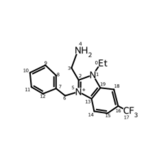 CCn1c(CN)[n+](Cc2ccccc2)c2ccc(C(F)(F)F)cc21